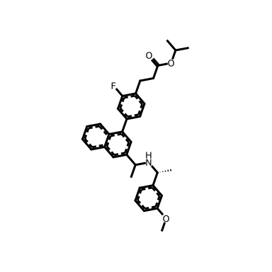 COc1cccc([C@@H](C)NC(C)c2cc(-c3ccc(CCC(=O)OC(C)C)c(F)c3)c3ccccc3c2)c1